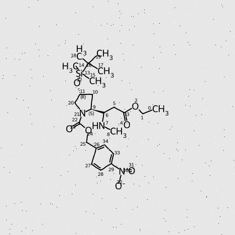 CCOC(=O)CC(NC)[C@@H]1C[C@@H](O[Si](C)(C)C(C)(C)C)CN1C(=O)OCc1ccc([N+](=O)[O-])cc1